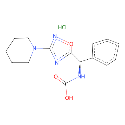 Cl.O=C(O)N[C@H](c1ccccc1)c1nc(N2CCCCC2)no1